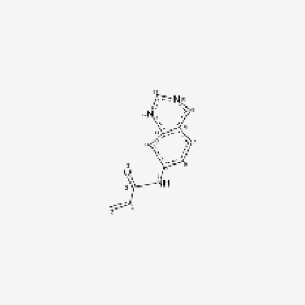 C=CC(=O)Nc1ccc2cncnc2c1